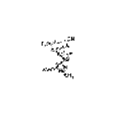 COc1cc(-n2cc(C(CCO)c3ccc(C(F)(F)F)cc3F)cn2)nc(C)n1